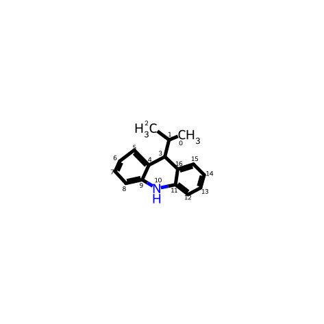 CC(C)C1c2ccccc2Nc2ccccc21